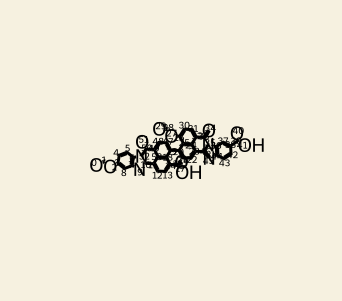 O=COc1ccc2c(c1)nc1c3ccc(C(=O)O)c4c(-c5ccc6c7c5c(OC=O)ccc7c(=O)n5c7cc(C(=O)O)ccc7nc65)ccc(c(=O)n21)c43